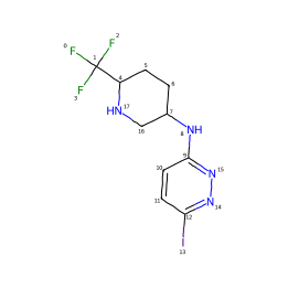 FC(F)(F)C1CCC(Nc2ccc(I)nn2)CN1